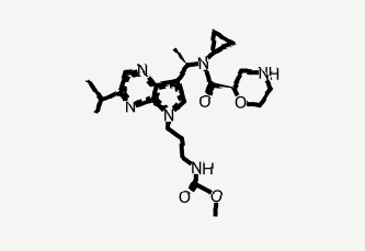 COC(=O)NCCCn1cc([C@@H](C)N(C(=O)[C@H]2CNCCO2)C2CC2)c2ncc(C(C)C)nc21